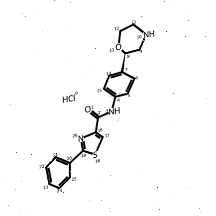 Cl.O=C(Nc1ccc([C@@H]2CNCCO2)cc1)c1csc(-c2ccccc2)n1